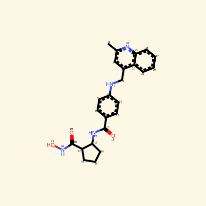 Cc1cc(CNc2ccc(C(=O)NC3CCCC3C(=O)NO)cc2)c2ccccc2n1